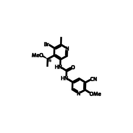 COc1ncc(NC(=O)Nc2cnc(C)c(Br)c2[C@H](C)OC)cc1C#N